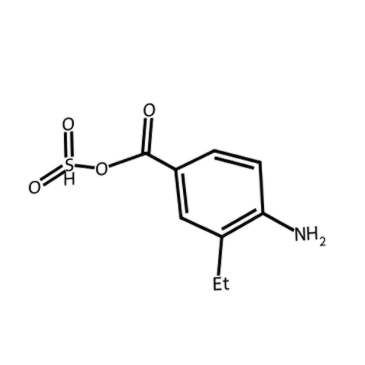 CCc1cc(C(=O)O[SH](=O)=O)ccc1N